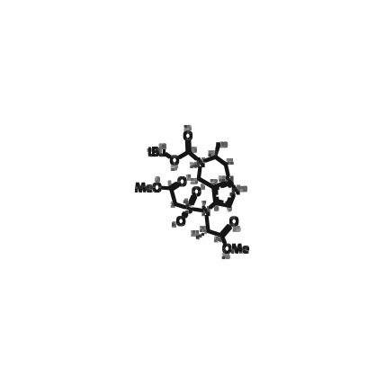 COC(=O)CS(=O)(=O)N(c1cnn2c1CN(C(=O)OC(C)(C)C)[C@@H](C)C2)[C@@H](C)C(=O)OC